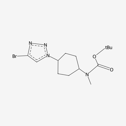 CN(C(=O)OC(C)(C)C)C1CCC(n2cc(Br)nn2)CC1